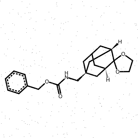 O=C(NC[C@]12CC3C[C@H](C1)C1(OCCO1)[C@@H](C3)C2)OCc1ccccc1